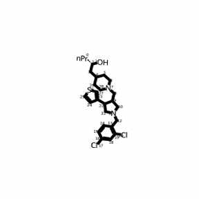 CCC[C@H](O)CC1CCN(CC2CN(Cc3ccc(Cl)cc3Cl)CC2c2ccsc2)CC1